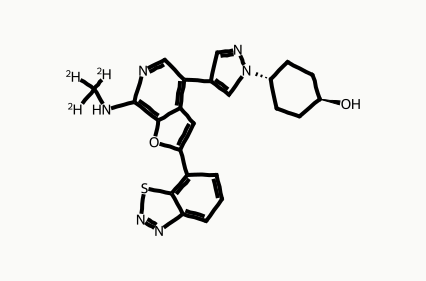 [2H]C([2H])([2H])Nc1ncc(-c2cnn([C@H]3CC[C@H](O)CC3)c2)c2cc(-c3cccc4nnsc34)oc12